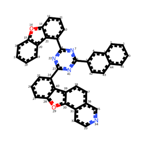 c1ccc2cc(-c3nc(-c4cccc5oc6ccccc6c45)nc(-c4cccc5oc6c7ccncc7ccc6c45)n3)ccc2c1